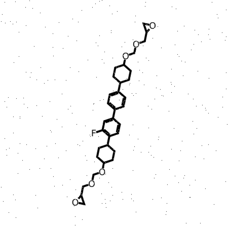 Fc1cc(-c2ccc(C3CCC(OCOCC4CO4)CC3)cc2)ccc1C1CCC(OCOCC2CO2)CC1